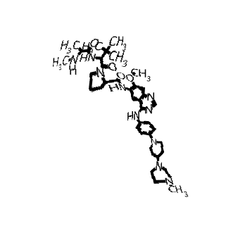 CNC(C)C(=O)NC(C(=O)N1CCCC1C(=O)Nc1cc2c(Nc3ccc(N4CCC(N5CCN(C)CC5)CC4)cc3)ncnc2cc1OC)C(C)(C)C